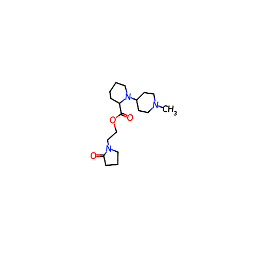 CN1CCC(N2CCCCC2C(=O)OCCN2CCCC2=O)CC1